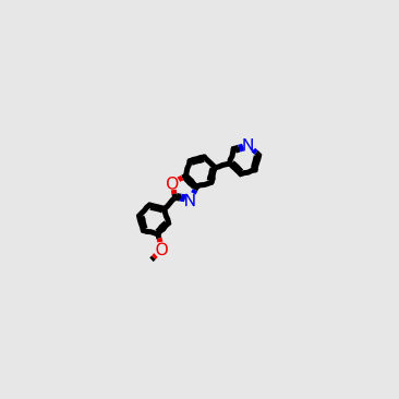 COc1cccc(-c2nc3cc(-c4cccnc4)ccc3o2)c1